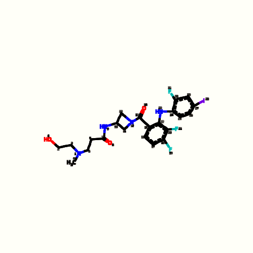 CN(CCO)CCC(=O)NC1CN(C(=O)c2ccc(F)c(F)c2Nc2ccc(I)cc2F)C1